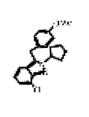 COc1ccc(Cc2c3cccc(Cl)c3nn2C2CCCC2)cc1